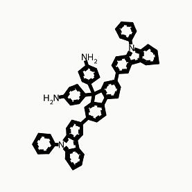 Nc1ccc(C2(c3ccc(N)cc3)c3cc(-c4ccc5c(c4)c4ccccc4n5-c4ccccc4)ccc3-c3ccc(-c4ccc5c(c4)c4ccccc4n5-c4ccccc4)cc32)cc1